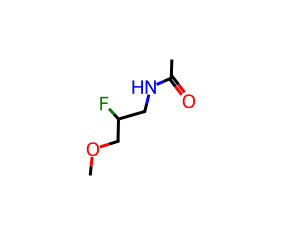 COCC(F)CNC(C)=O